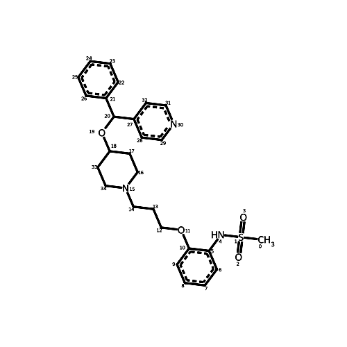 CS(=O)(=O)Nc1ccccc1OCCCN1CCC(OC(c2ccccc2)c2ccncc2)CC1